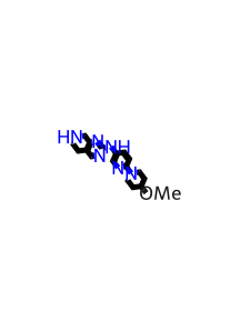 COC1CCN(c2ccc(Nc3ncc4c(n3)CNCC4)cn2)CC1